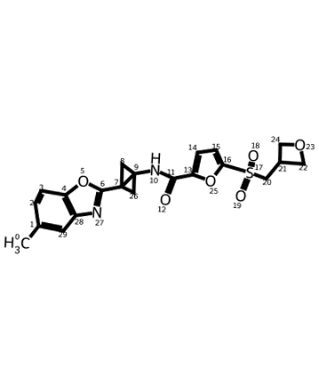 Cc1ccc2oc(C34CC3(NC(=O)c3ccc(S(=O)(=O)CC5COC5)o3)C4)nc2c1